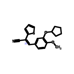 COc1ccc(/C=C(/C#N)c2cccs2)cc1OC1CCCC1